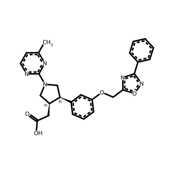 Cc1ccnc(N2C[C@H](CC(=O)O)[C@H](c3cccc(OCc4nc(-c5ccccc5)no4)c3)C2)n1